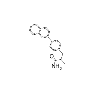 CC(Cc1ccc(-c2ccc3ccccc3c2)cc1)C(N)=O